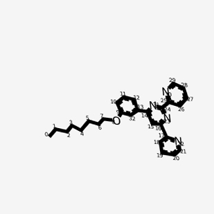 CCCCCCCCOc1cccc(-c2cc(-c3ccccn3)nc(-c3ccccn3)n2)c1